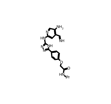 CC(C)NC(=O)COc1ccc(-c2nnc(Nc3cc(C=N)c(N)cn3)[nH]2)cc1